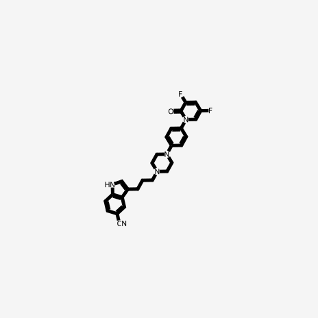 N#Cc1ccc2[nH]cc(CCCN3CCN(c4ccc(-n5cc(F)cc(F)c5=O)cc4)CC3)c2c1